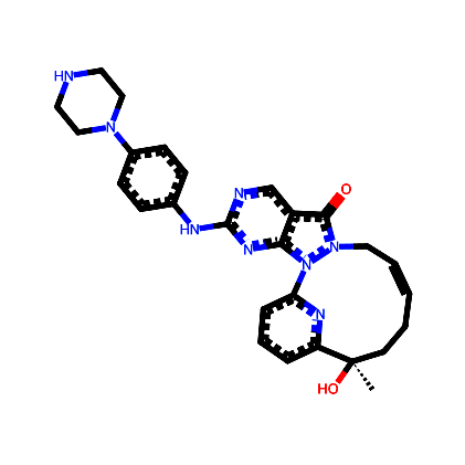 C[C@@]1(O)CC/C=C\Cn2c(=O)c3cnc(Nc4ccc(N5CCNCC5)cc4)nc3n2-c2cccc1n2